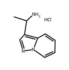 CC(N)c1cnn2ccccc12.Cl